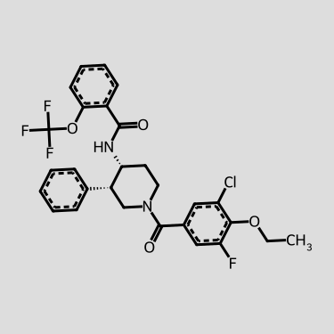 CCOc1c(F)cc(C(=O)N2CC[C@@H](NC(=O)c3ccccc3OC(F)(F)F)[C@@H](c3ccccc3)C2)cc1Cl